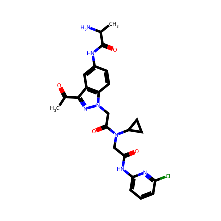 CC(=O)c1nn(CC(=O)N(CC(=O)Nc2cccc(Cl)n2)C2CC2)c2ccc(NC(=O)C(C)N)cc12